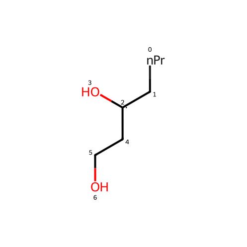 CCCC[C](O)CCO